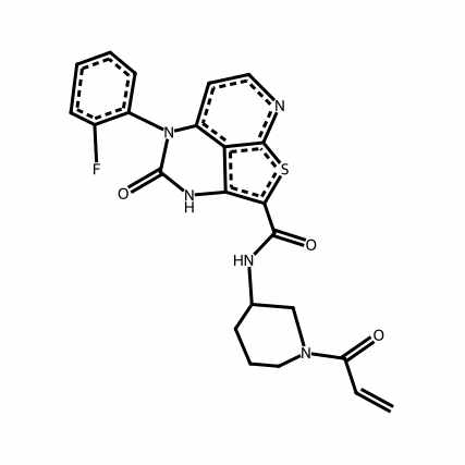 C=CC(=O)N1CCCC(NC(=O)c2sc3nccc4c3c2NC(=O)N4c2ccccc2F)C1